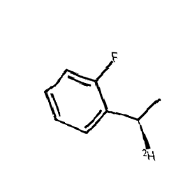 [2H][C@H](C)c1ccccc1F